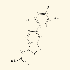 NC(=O)OC1CCc2cc(-c3cc(F)c(F)cc3F)ccc21